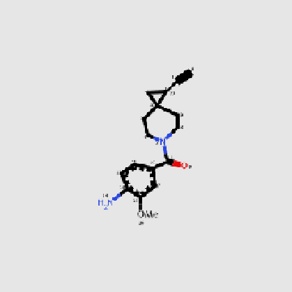 C#C[C@@H]1CC12CCN(C(=O)c1ccc(N)c(OC)c1)CC2